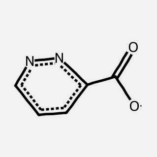 [O]C(=O)c1cccnn1